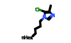 CCCCCCCCCCn1cnc(C)c1Cl